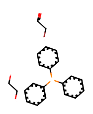 O=CCBr.OCCO.c1ccc(P(c2ccccc2)c2ccccc2)cc1